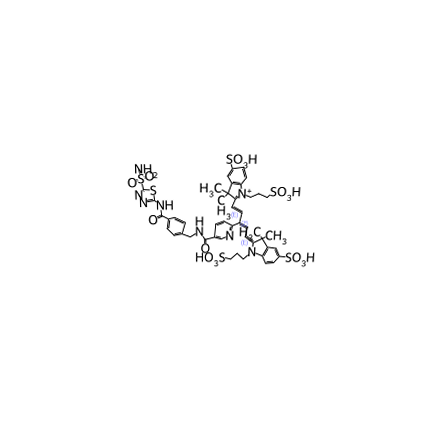 CC1(C)C(/C=C/C(=C/C=C2/N(CCCS(=O)(=O)O)c3ccc(S(=O)(=O)O)cc3C2(C)C)c2ccc(C(=O)NCc3ccc(C(=O)Nc4nnc(S(N)(=O)=O)s4)cc3)cn2)=[N+](CCCS(=O)(=O)O)c2ccc(S(=O)(=O)O)cc21